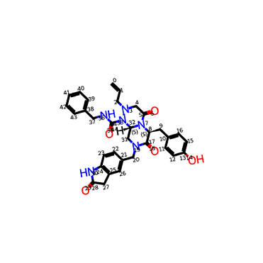 C=CCN1CC(=O)N2[C@@H](Cc3ccc(O)cc3)C(=O)N(Cc3ccc4c(c3)CC(=O)N4)C[C@@H]2N1C(=O)NCc1ccccc1